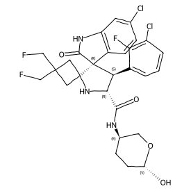 O=C(N[C@@H]1CC[C@@H](O)OC1)[C@@H]1NC2(CC(CF)(CF)C2)[C@@]2(C(=O)Nc3cc(Cl)ccc32)[C@H]1c1cccc(Cl)c1F